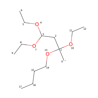 [CH2]C(CC(OCC)OCC)(OCC)OCCCC